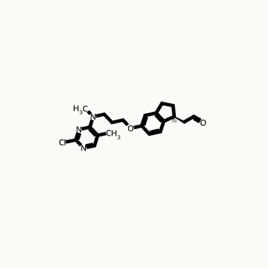 Cc1cnc(Cl)nc1N(C)CCCOc1ccc2c(c1)CC[C@H]2CC=O